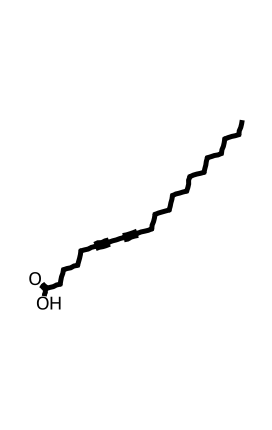 CCCCCCCCCCCCC#CC#CCCCCC(=O)O